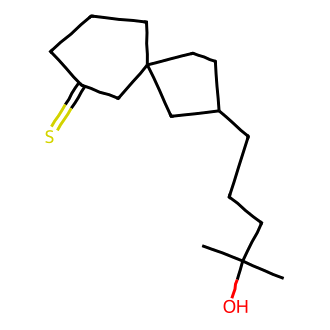 CC(C)(O)CCCC1CCC2(CCCC(=S)C2)C1